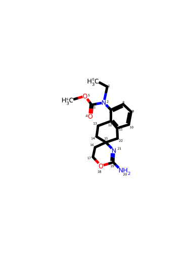 CCN(C(=O)OC)c1cccc2c1CCC1(CCOC(N)=N1)C2